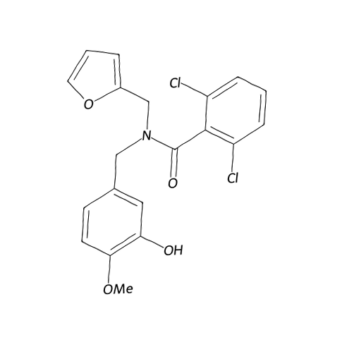 COc1ccc(CN(Cc2ccco2)C(=O)c2c(Cl)cccc2Cl)cc1O